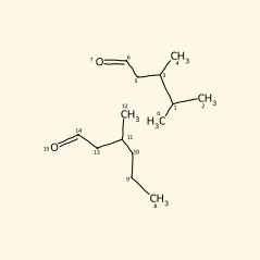 CC(C)C(C)CC=O.CCCC(C)CC=O